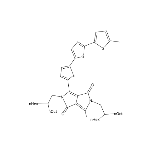 CCCCCCCCC(CCCCCC)CN1C(=O)C2=C(c3ccc(-c4ccc(-c5ccc(C)s5)s4)s3)N(CC(CCCCCC)CCCCCCCC)C(=O)C2=C1C